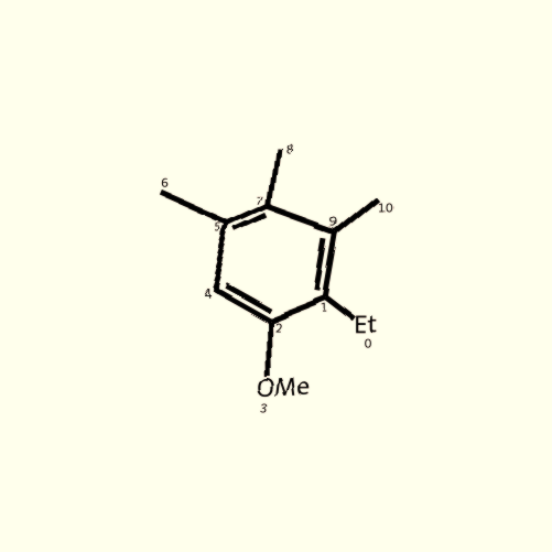 CCc1c(OC)cc(C)c(C)c1C